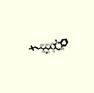 CO[C@@H](C(=O)NC1CNc2ccccc2N(C)C1=O)[C@H](O)[C@@H](O)[C@H](O)/C=C/C(C)(C)C